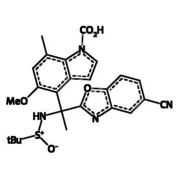 COc1cc(C)c2c(ccn2C(=O)O)c1C(C)(N[S+]([O-])C(C)(C)C)c1nc2cc(C#N)ccc2o1